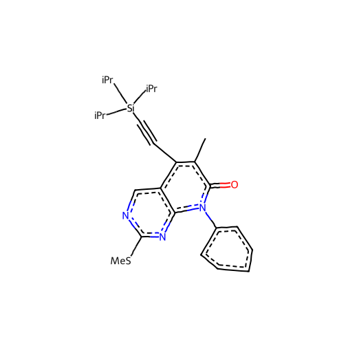 CSc1ncc2c(C#C[Si](C(C)C)(C(C)C)C(C)C)c(C)c(=O)n(-c3ccccc3)c2n1